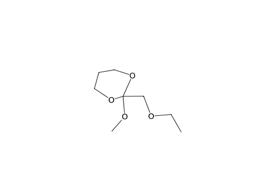 CCOCC1(OC)OCCCO1